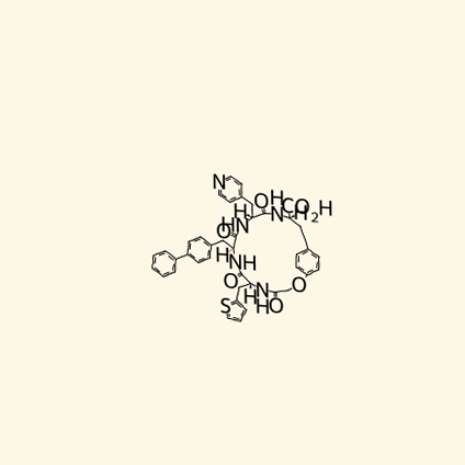 O=C1COc2ccc(cc2)C[C@@H](C(=O)O)NC(=O)[C@@H](Cc2ccncc2)NC(=O)[C@H](Cc2ccc(-c3ccccc3)cc2)NC(=O)[C@@H](Cc2cccs2)N1